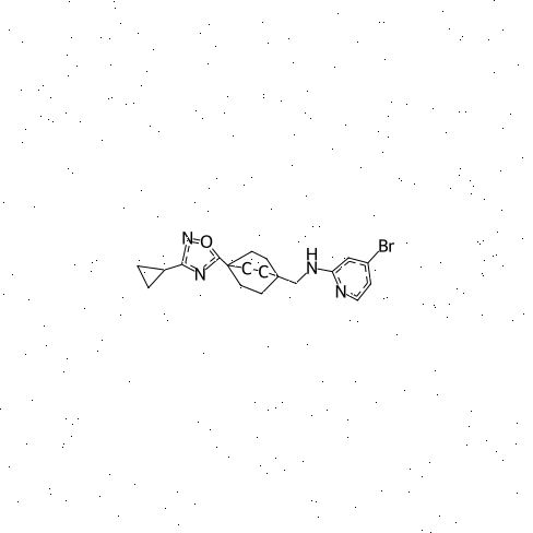 Brc1ccnc(NCC23CCC(c4nc(C5CC5)no4)(CC2)CC3)c1